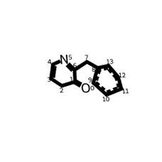 O=C1CC=CN=C1Cc1ccccc1